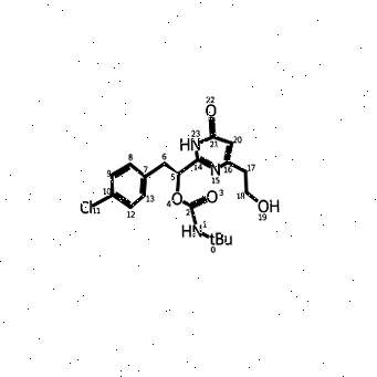 CC(C)(C)NC(=O)O[C@@H](Cc1ccc(Cl)cc1)c1nc(CCO)cc(=O)[nH]1